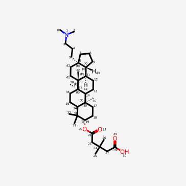 CN(C)CCC[C@]12CCC[C@@H]1[C@H]1CCC3[C@@]4(C)CC[C@H](OC(=O)CC(C)(C)CC(=O)O)C(C)(C)C4CC[C@@]3(C)[C@]1(C)CC2